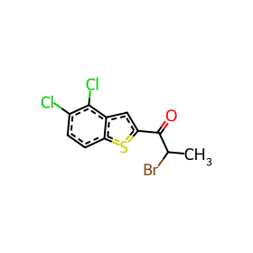 CC(Br)C(=O)c1cc2c(Cl)c(Cl)ccc2s1